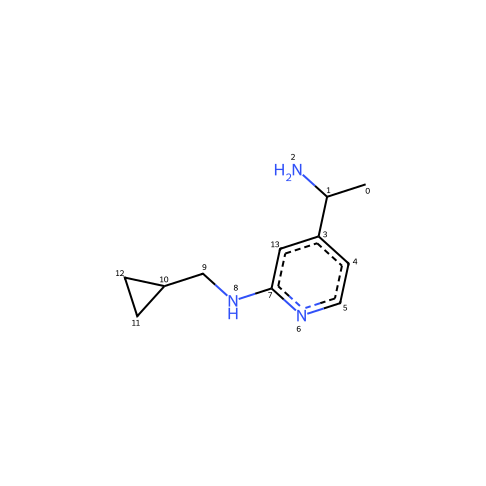 CC(N)c1ccnc(NCC2CC2)c1